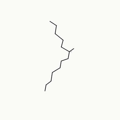 CCCCCCC[C](C)CCCCC